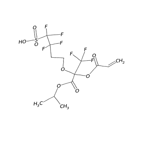 C=CC(=O)OC(OCCC(F)(F)C(F)(F)S(=O)(=O)O)(C(=O)OC(C)C)C(F)(F)F